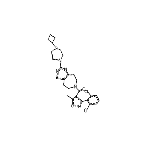 Cc1onc(-c2c(Cl)cccc2Cl)c1C(=O)N1CCc2cnc(N3CCN(C4CCC4)CC3)nc2CC1